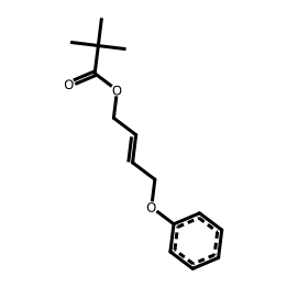 CC(C)(C)C(=O)OCC=CCOc1ccccc1